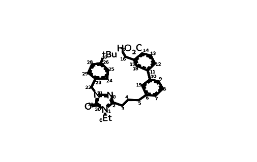 CCn1c(CCCc2cccc(-c3cccc(CC(=O)O)c3)c2)nn(Cc2ccc(C(C)(C)C)cc2)c1=O